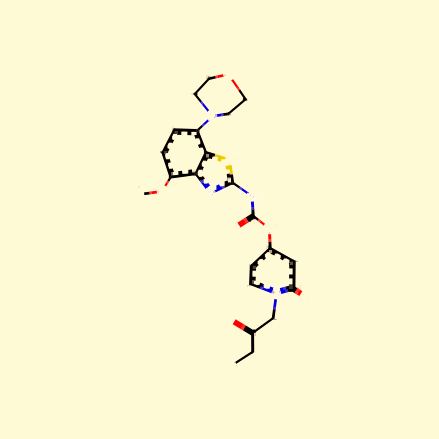 CCC(=O)Cn1ccc(OC(=O)Nc2nc3c(OC)ccc(N4CCOCC4)c3s2)cc1=O